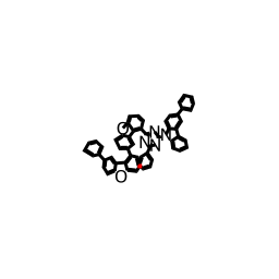 c1ccc(-c2ccc3oc4cccc(-c5ccc6oc7cccc(-c8nc(-c9ccccc9)nc(-n9c%10ccccc%10c%10cc(-c%11ccccc%11)ccc%109)n8)c7c6c5)c4c3c2)cc1